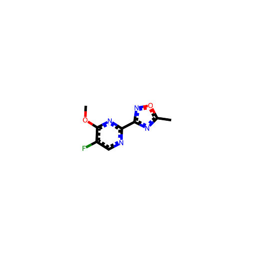 COc1nc(-c2noc(C)n2)ncc1F